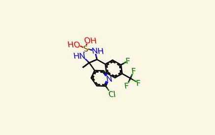 CC1(c2ccc(Cl)nc2)NS(O)(O)NC1c1ccc(C(F)(F)F)c(F)c1